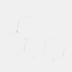 CCC(C)C(N)C(=O)NC(C)CN1CCOCC1